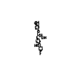 Cl.Oc1ccc(OCC(O)CN2CCC(O)(Cc3ccc(F)cc3)CC2)cc1